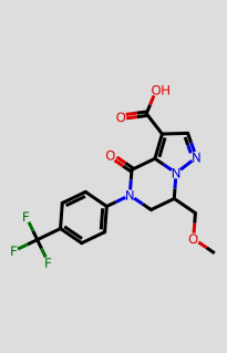 COCC1CN(c2ccc(C(F)(F)F)cc2)C(=O)c2c(C(=O)O)cnn21